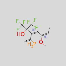 C=C(P)/C(=C\C(=C/C)OC)C(O)(C(F)(F)F)C(F)(F)F